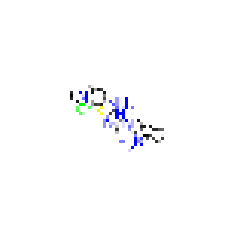 C=C1CC=CC(Sc2nc(C)c(N3CCC4(CC3)Cc3ccccc3[C@H]4N)nc2N)=C(Cl)C1N1CCCC1